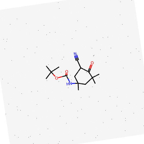 CC1(NC(=O)OC(C)(C)C)CC(C#N)C(=O)C(C)(C)C1